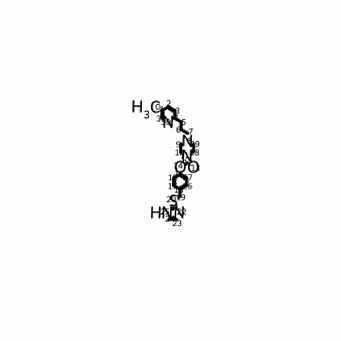 Cc1ccc(CCCN2CCN(C(=O)Oc3ccc(CSc4ncc[nH]4)cc3)CC2)nc1